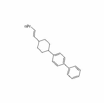 CCCC=CC1CCC(c2ccc(-c3ccccc3)cc2)CC1